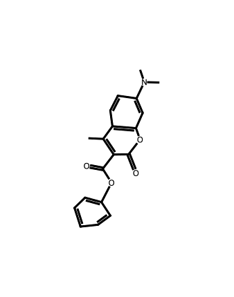 Cc1c(C(=O)Oc2ccccc2)c(=O)oc2cc(N(C)C)ccc12